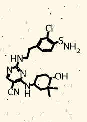 CC1(C)CC(Nc2nc(NCCc3ccc(SN)c(Cl)c3)ncc2C#N)CC[C@@H]1O